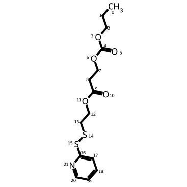 CCCOC(=O)OCCC(=O)OCCSSc1ccccn1